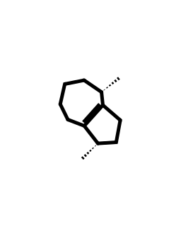 C[C@H]1CCCCC2=C1CC[C@@H]2C